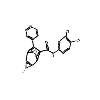 C[C@H]1c2c1c1oc2c(C(=O)Nc2ccc(Cl)c(Cl)c2)c1-c1ccncc1